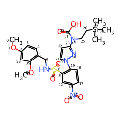 COc1ccc(CNS(=O)(=O)c2cc([N+](=O)[O-])ccc2-n2c[c]c(N(CC[Si](C)(C)C)C(=O)O)n2)c(OC)c1